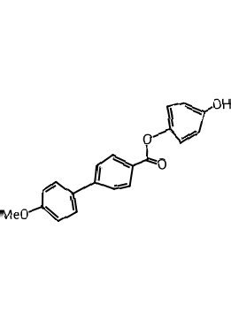 COc1ccc(-c2ccc(C(=O)Oc3ccc(O)cc3)cc2)cc1